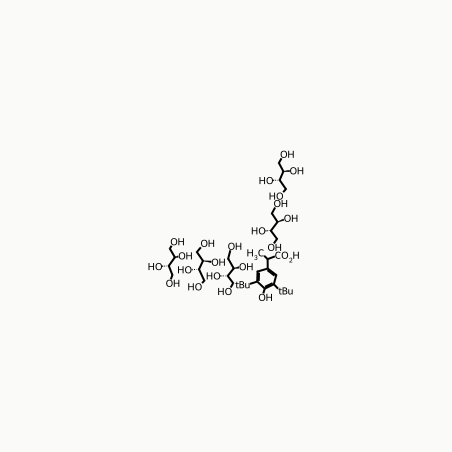 CC(C(=O)O)c1cc(C(C)(C)C)c(O)c(C(C)(C)C)c1.OC[C@@H](O)[C@@H](O)CO.OC[C@@H](O)[C@@H](O)CO.OC[C@@H](O)[C@@H](O)CO.OC[C@@H](O)[C@@H](O)CO.OC[C@@H](O)[C@@H](O)CO